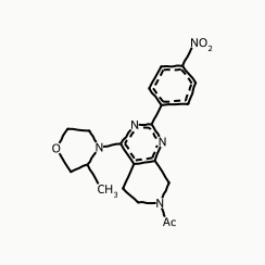 CC(=O)N1CCc2c(nc(-c3ccc([N+](=O)[O-])cc3)nc2N2CCOCC2C)C1